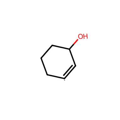 OC1C=[C]CCC1